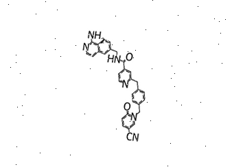 N#Cc1ccc(=O)n(Cc2ccc(Cc3cc(C(=O)NCc4ccc5c(N)nccc5c4)ccn3)cc2)c1